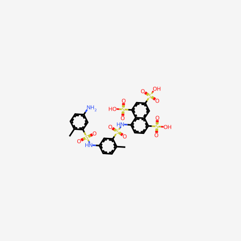 Cc1ccc(N)cc1S(=O)(=O)Nc1ccc(C)c(S(=O)(=O)Nc2ccc(S(=O)(=O)O)c3cc(S(=O)(=O)O)cc(S(=O)(=O)O)c23)c1